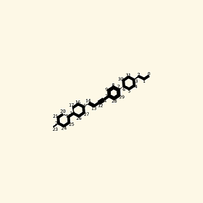 CCC[C@H]1CC[C@H](c2ccc(C#CC=C[C@H]3CC[C@H]([C@H]4CC[C@H](C)CC4)CC3)cc2)CC1